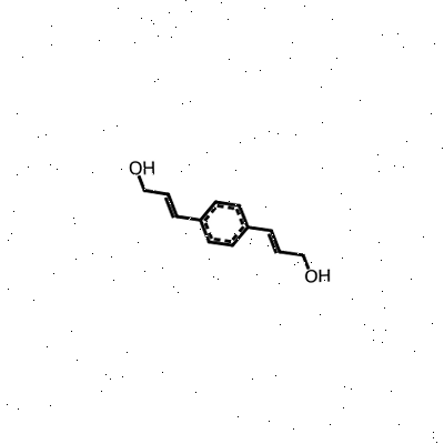 OC/C=C/c1ccc(/C=C/CO)cc1